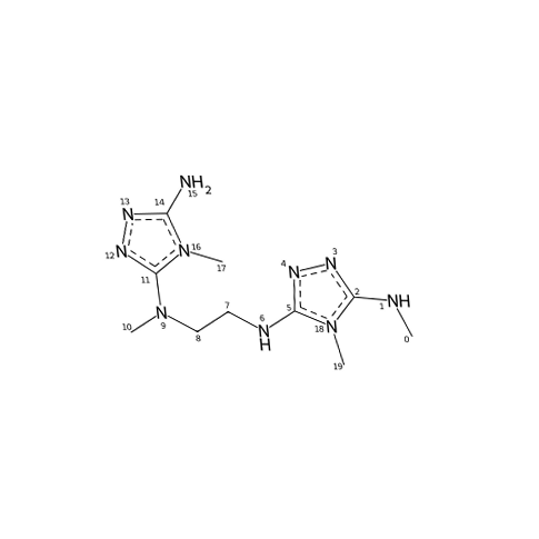 CNc1nnc(NCCN(C)c2nnc(N)n2C)n1C